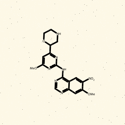 COc1cc(C2CNCCO2)nc(Nc2ncnc3cc(OC)c([N+](=O)[O-])cc23)n1